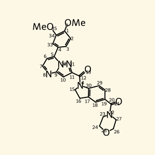 COc1ccc(-c2ccnc3cc(C(=O)N4CCc5cc(C(=O)N6CCOCC6)ccc54)nn23)cc1OC